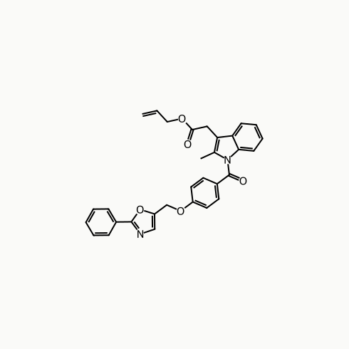 C=CCOC(=O)Cc1c(C)n(C(=O)c2ccc(OCc3cnc(-c4ccccc4)o3)cc2)c2ccccc12